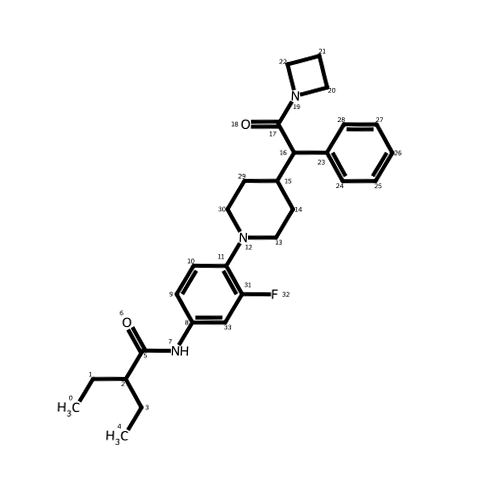 CCC(CC)C(=O)Nc1ccc(N2CCC(C(C(=O)N3CCC3)c3ccccc3)CC2)c(F)c1